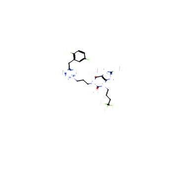 O=c1c2[nH]c(Cl)nc2n(CCCC(F)(F)F)c(=O)n1CCCn1nnc(Cc2cc(F)ccc2F)n1